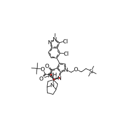 Cn1nc2ccc(-c3cn(COCC[Si](C)(C)C)c4nc(N5C6CCC5CC(C)(NC(=O)OC(C)(C)C)C6)n(C)c(=O)c34)c(Cl)c2c1Cl